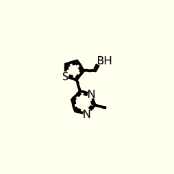 B=Cc1ccsc1-c1ccnc(C)n1